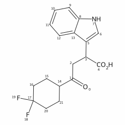 O=C(CC(C(=O)O)c1c[nH]c2ccccc12)C1CCC(F)(F)CC1